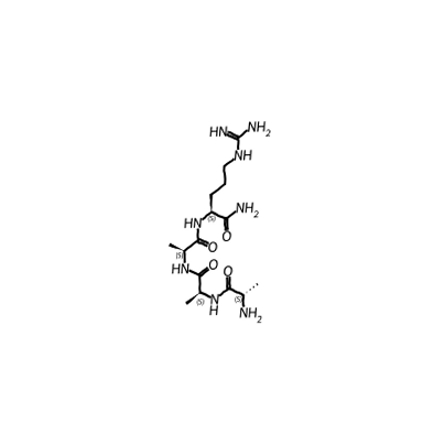 C[C@H](N)C(=O)N[C@@H](C)C(=O)N[C@@H](C)C(=O)N[C@@H](CCCNC(=N)N)C(N)=O